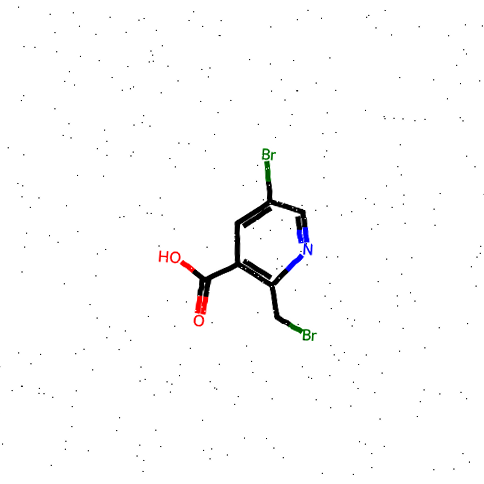 O=C(O)c1cc(Br)cnc1CBr